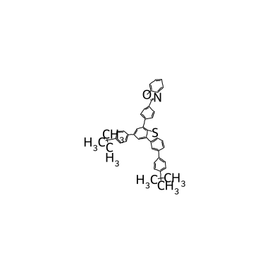 CC(C)(C)c1ccc(-c2ccc3sc4c(-c5ccc(-c6nc7ccccc7o6)cc5)cc(-c5ccc(C(C)(C)C)cc5)cc4c3c2)cc1